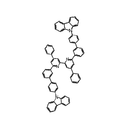 c1ccc(-c2cc(-c3cccc(-c4ccc(-n5c6ccccc6c6ccccc65)cc4)c3)nc(-c3cc(-c4ccccc4)cc(-c4cccc(-c5ccc(-n6c7ccccc7c7ccccc76)cc5)c4)n3)c2)cc1